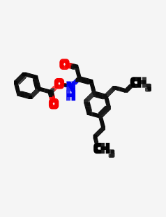 CCCc1ccc(C=C(C=O)NOC(=O)c2ccccc2)c(CCC)c1